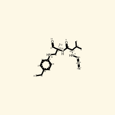 CC(C)[C@H](NN=[N+]=[N-])C(=O)N[C@](C)(C=O)CNc1ccc(CI)cc1